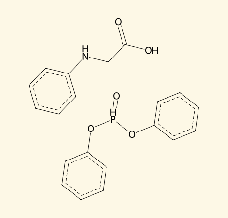 O=C(O)CNc1ccccc1.O=[PH](Oc1ccccc1)Oc1ccccc1